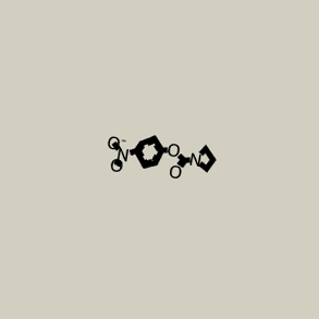 O=C(Oc1ccc([N+](=O)[O-])cc1)N1CCC1